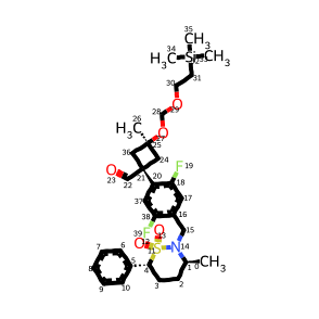 C[C@H]1CC[C@H](c2ccccc2)S(=O)(=O)N1Cc1cc(F)c([C@]2(C=O)C[C@](C)(OCOCC[Si](C)(C)C)C2)cc1F